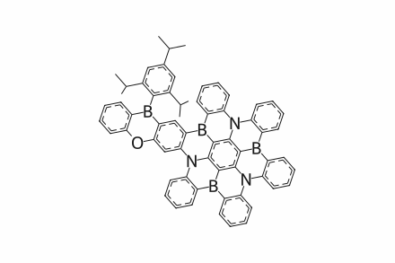 CC(C)c1cc(C(C)C)c(B2c3ccccc3Oc3cc4c(cc32)B2c3ccccc3N3c5ccccc5B5c6ccccc6N6c7ccccc7B7c8ccccc8N4c4c7c6c5c3c42)c(C(C)C)c1